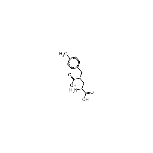 Cc1ccc(C[C@@H](C[C@H](N)C(=O)O)C(=O)O)cc1